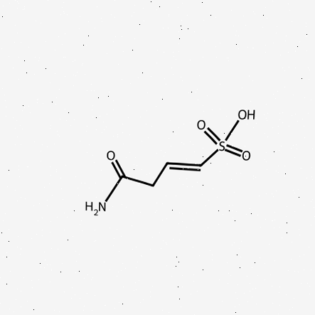 NC(=O)CC=CS(=O)(=O)O